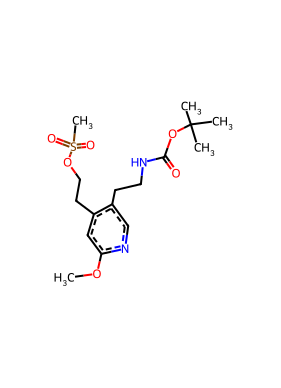 COc1cc(CCOS(C)(=O)=O)c(CCNC(=O)OC(C)(C)C)cn1